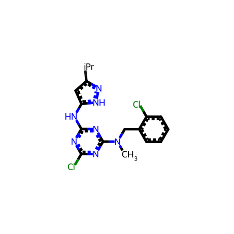 CC(C)c1cc(Nc2nc(Cl)nc(N(C)Cc3ccccc3Cl)n2)[nH]n1